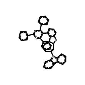 C1=CC(n2c3ccccc3c3ccccc32)=CC2Oc3cccc(-c4c(-c5ccccc5)nc(-c5ccccc5)nc4-c4ccccc4)c3C2=C1